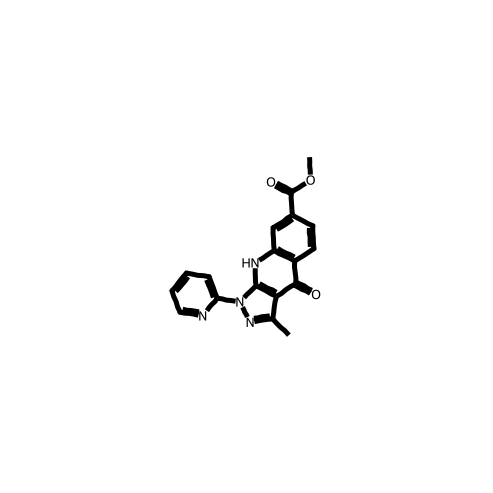 COC(=O)c1ccc2c(=O)c3c(C)nn(-c4ccccn4)c3[nH]c2c1